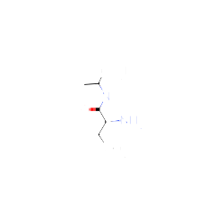 CC(NC(=O)[C@@H](N)CC(=O)O)C(=O)O